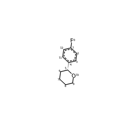 Fc1ccc([C@H]2C[CH]CCO2)cc1